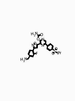 CC(C)S(=O)(=O)c1ccc(-c2cnc(OC(N)=O)c(-c3cc(-c4ccc(CN)cc4F)no3)n2)cc1